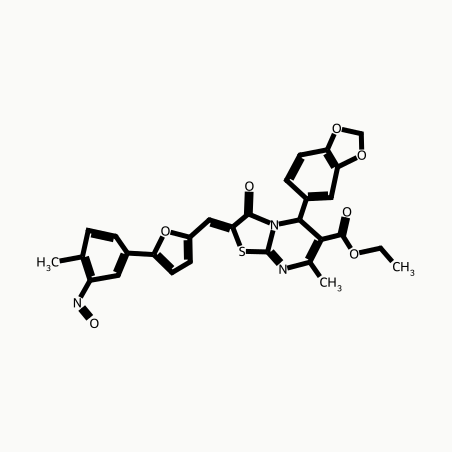 CCOC(=O)C1=C(C)N=c2s/c(=C\c3ccc(-c4ccc(C)c(N=O)c4)o3)c(=O)n2C1c1ccc2c(c1)OCO2